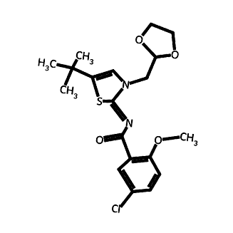 COc1ccc(Cl)cc1C(=O)N=c1sc(C(C)(C)C)cn1CC1OCCO1